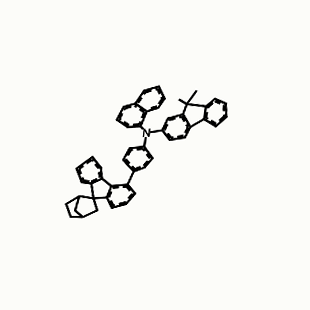 CC1(C)c2ccccc2-c2ccc(N(c3ccc(-c4cccc5c4-c4ccccc4C54CC5CCC4C5)cc3)c3cccc4ccccc34)cc21